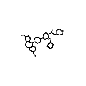 O=C(CC1CCNCC1)N1CCN(C2CCN(C3c4ccc(Cl)cc4CCc4cc(Br)cnc43)CC2)C[C@@H]1Cc1ccccc1